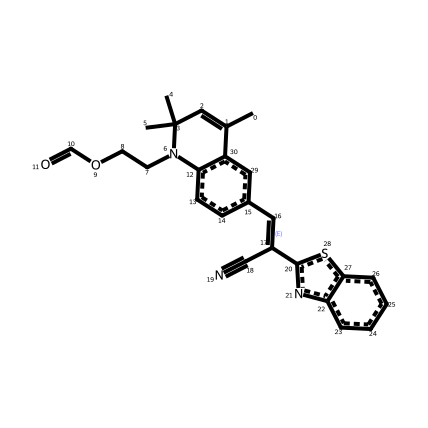 CC1=CC(C)(C)N(CCOC=O)c2ccc(/C=C(\C#N)c3nc4ccccc4s3)cc21